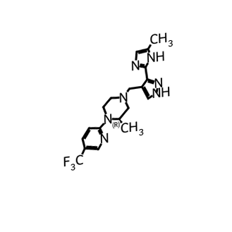 Cc1cnc(-c2n[nH]cc2CN2CCN(c3ccc(C(F)(F)F)cn3)[C@H](C)C2)[nH]1